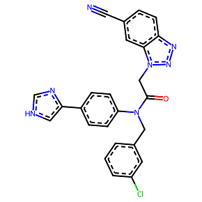 N#Cc1ccc2nnn(CC(=O)N(Cc3cccc(Cl)c3)c3ccc(-c4c[nH]cn4)cc3)c2c1